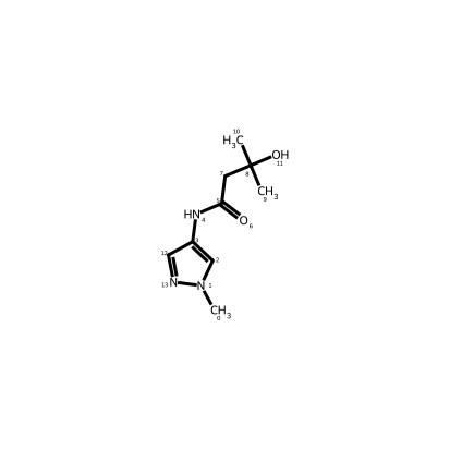 Cn1cc(NC(=O)CC(C)(C)O)cn1